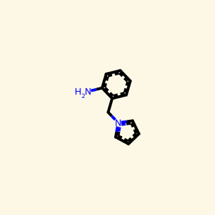 Nc1ccccc1Cn1cccc1